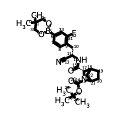 CC1(C)COB(c2ccc(C[C@@H](C#N)NC(=O)[C@@H]3C4CCC(C4)N3C(=O)OC(C)(C)C)c(F)c2)OC1